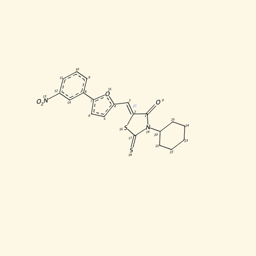 O=C1/C(=C/c2ccc(-c3cccc([N+](=O)[O-])c3)o2)SC(=S)N1C1CCCCC1